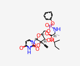 C#C[C@@]1(O)[C@H](O)[C@H](COP(=O)(N[C@H](C)C(=O)OC(C)CC)Oc2ccccc2)O[C@H]1n1ccc(=O)[nH]c1=O